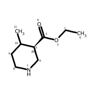 CCOC(=O)[C@H]1CNCCC1C